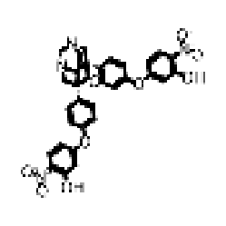 O=C1[C@]2(c3ccc(Oc4ccc([N+](=O)[O-])c(O)c4)cc3)C[N@]3C[N@@](C[C@@]1(c1ccc(Oc4ccc([N+](=O)[O-])c(O)c4)cc1)C3)C2